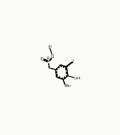 CCO[PH](=O)Cc1cc(I)c(O)c(C(C)(C)C)c1